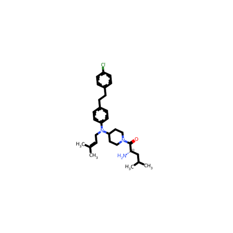 CC(C)=CCN(c1ccc(CCc2ccc(Cl)cc2)cc1)C1CCN(C(=O)[C@@H](N)CC(C)C)CC1